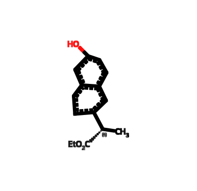 CCOC(=O)[C@@H](C)c1ccc2cc(O)ccc2c1